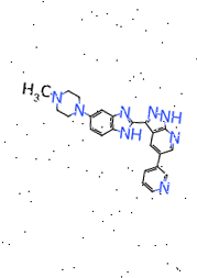 CN1CCN(c2ccc3[nH]c(-c4n[nH]c5ncc(-c6cccnc6)cc45)nc3c2)CC1